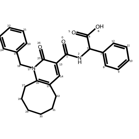 O=C(NC(C(=O)O)c1ccccc1)c1cc2c(n(Cc3ccccc3)c1=O)CCCCCC2